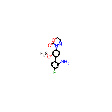 Nc1cc(F)ccc1-c1ccc(N2N=CCOC2=O)cc1OC(F)(F)F